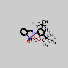 COc1c(/N=C/c2ccccc2[N+](=O)[O-])cc(C(C)(C)C)cc1C(C)(C)C